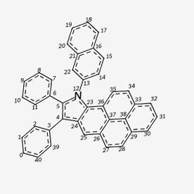 c1ccc(-c2c(-c3ccccc3)n(-c3ccc4ccccc4c3)c3c2cc2ccc4cccc5ccc3c2c45)cc1